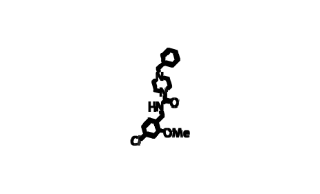 COc1cc(Cl)ccc1CNC(=O)N1CCN(Cc2ccccc2)CC1